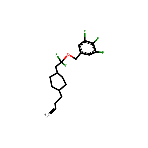 C=CCCC1CCC(CC(F)(F)OCc2cc(F)c(F)c(F)c2)CC1